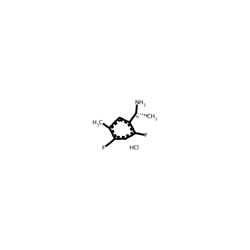 Cc1cc([C@@H](C)N)c(F)cc1F.Cl